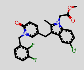 COC(=O)Cn1c(C)c(Cc2ccc(=O)n(Cc3cccc(F)c3F)c2)c2cc(Cl)ccc21